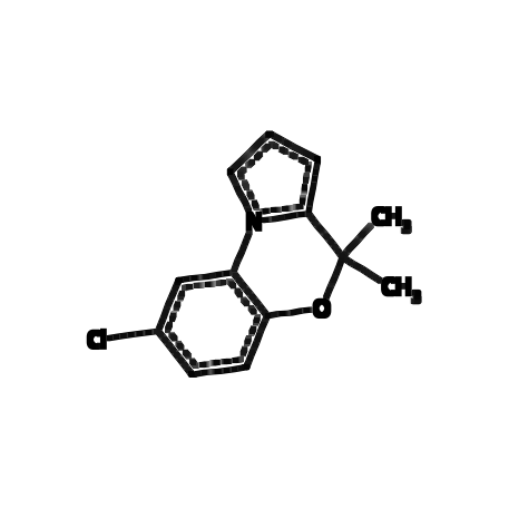 CC1(C)Oc2ccc(Cl)cc2-n2cccc21